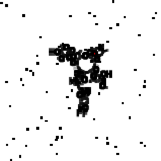 CON=C1C[C@@H](C)O[C@@H](O[C@@H]2[C@@H](C)[C@H](O[C@H]3CC(C)N(C)C[C@H](C)O3)[C@@H](C)C(=O)O[C@H](C(C)CO[C@@H]3O[C@H](C)[C@@H](O)[C@@H](OC)[C@H]3OC)[C@H](C)[C@@H](OC(=O)CC(C)C)[C@@H](C)C(=O)[C@@](C)(OC(=O)NC(C)(C)CNS(=O)(=O)c3ccc(OC(F)(F)F)cc3)C[C@@H]2C)[C@@H]1O